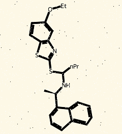 CCCC(N[C@H](C)c1cccc2ccccc12)Sc1nc2cc(OCC)ccc2s1